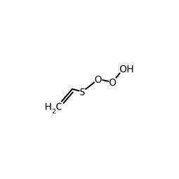 C=CSOOO